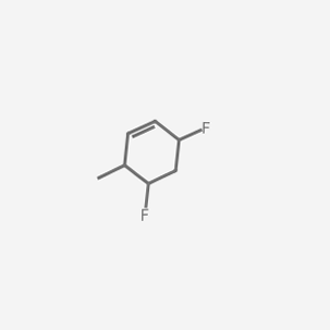 CC1C=CC(F)CC1F